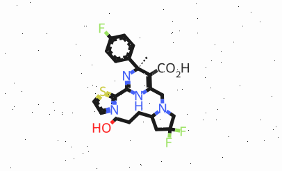 C[C@@]1(c2ccc(F)cc2)N=C(c2nccs2)NC(CN2CC(F)(F)CC2CCCO)=C1C(=O)O